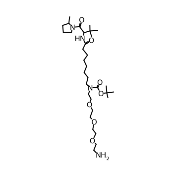 CC1CCCN1C(=O)C(NC(=O)CCCCCCCN(CCOCCOCCOCCN)C(=O)OC(C)(C)C)C(C)(C)C